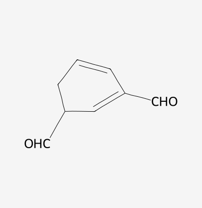 O=CC1=CC(C=O)CC=C1